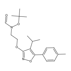 Cc1ccc(-c2onc(OCCN(C=O)OC(C)(C)C)c2C(C)C)cc1